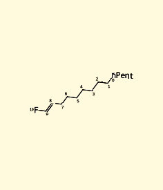 CCCCCCCCCCCCC=CF